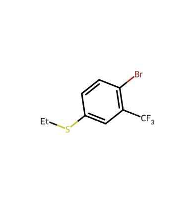 CCSc1ccc(Br)c(C(F)(F)F)c1